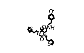 COc1ccc(CCNC(=O)CC2C(=O)N(CCc3cccs3)CC(=O)N2CCc2cccs2)cc1